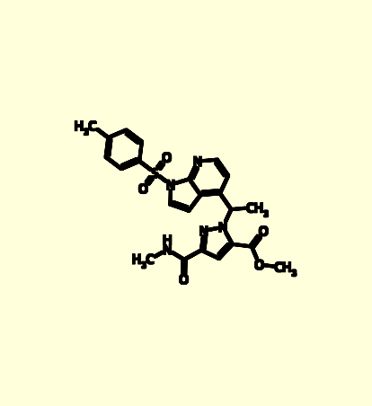 CNC(=O)c1cc(C(=O)OC)n(C(C)c2ccnc3c2ccn3S(=O)(=O)c2ccc(C)cc2)n1